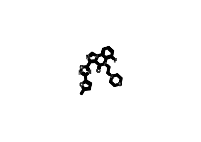 Cc1ccc(-c2noc(-c3ncn4c3c(=O)n(CCN3CCOCC3)c3c(F)cccc34)n2)o1